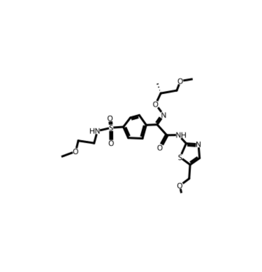 COCCNS(=O)(=O)c1ccc(/C(=N\O[C@H](C)COC)C(=O)Nc2ncc(COC)s2)cc1